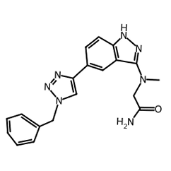 CN(CC(N)=O)c1n[nH]c2ccc(-c3cn(Cc4ccccc4)nn3)cc12